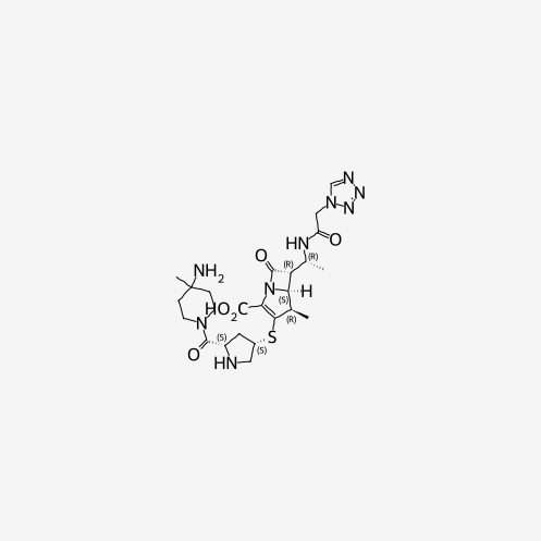 C[C@@H](NC(=O)Cn1cnnn1)[C@H]1C(=O)N2C(C(=O)O)=C(S[C@@H]3CN[C@H](C(=O)N4CCC(C)(N)CC4)C3)[C@H](C)[C@H]12